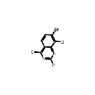 Clc1nc(Cl)c2ccc(Br)c(Cl)c2n1